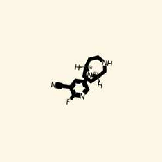 N#Cc1cc(N2[C@@H]3CCNC[C@H]2CC3)cnc1F